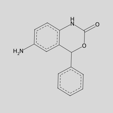 Nc1ccc2c(c1)C(c1ccccc1)OC(=O)N2